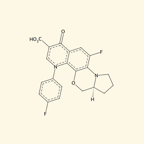 O=C(O)c1cn(-c2ccc(F)cc2)c2c3c(c(F)cc2c1=O)N1CCC[C@H]1CO3